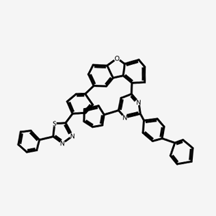 c1ccc(-c2ccc(-c3nc(-c4ccccc4)cc(-c4cccc5oc6ccc(-c7ccc(-c8nnc(-c9ccccc9)s8)cc7)cc6c45)n3)cc2)cc1